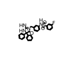 N=C1NC(c2ccccc2)(c2ccccc2)C(=O)N1Cc1cccc(NS(=O)(=O)c2cccc(F)c2)c1